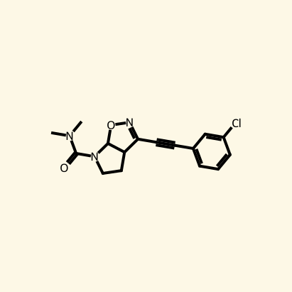 CN(C)C(=O)N1CCC2C(C#Cc3cccc(Cl)c3)=NOC21